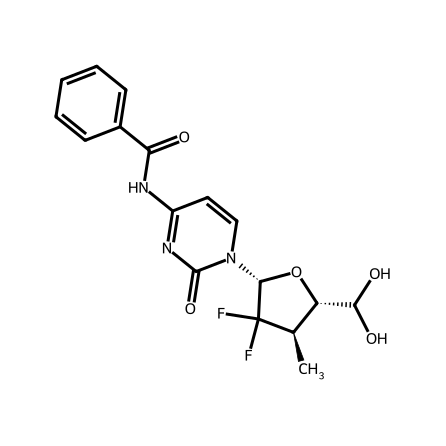 C[C@@H]1[C@@H](C(O)O)O[C@@H](n2ccc(NC(=O)c3ccccc3)nc2=O)C1(F)F